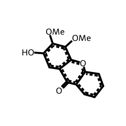 COc1c(O)cc2c(=O)c3ccccc3oc2c1OC